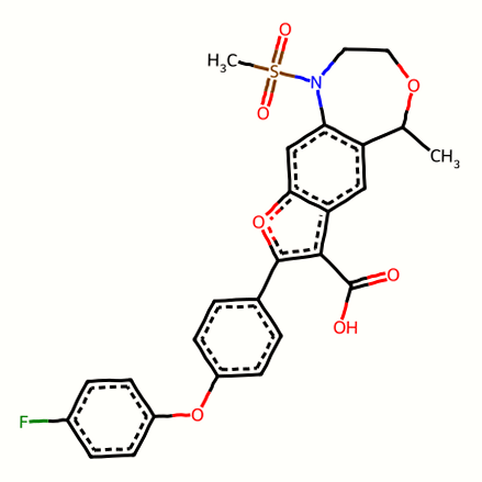 CC1OCCN(S(C)(=O)=O)c2cc3oc(-c4ccc(Oc5ccc(F)cc5)cc4)c(C(=O)O)c3cc21